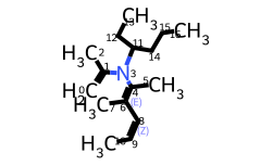 C=C(C)N(/C(C)=C(C)/C=C\C)C(CC)CCC